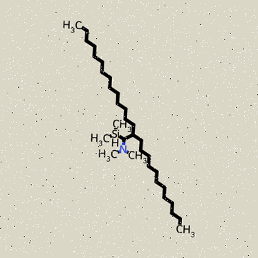 CCCCCCCCCCCCCCC(CCCCCCCCCCCC)C(N(C)C)[SiH](C)C